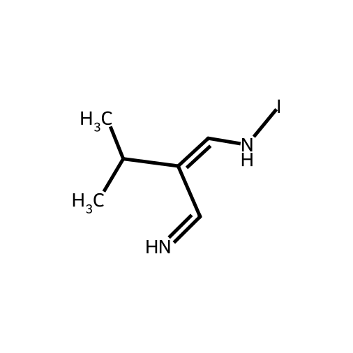 CC(C)/C(C=N)=C/NI